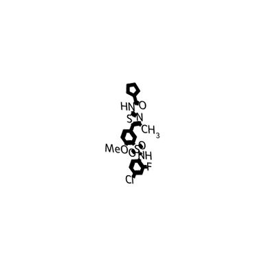 COc1ccc(-c2sc(NC(=O)C3CCCC3)nc2C)cc1S(=O)(=O)Nc1ccc(Cl)cc1F